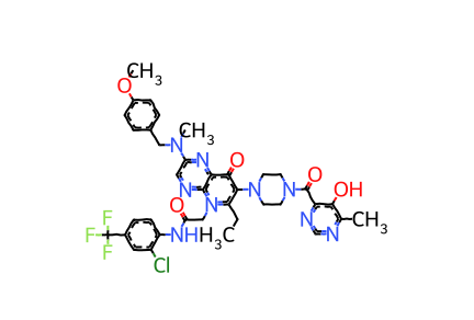 CCc1c(N2CCN(C(=O)c3ncnc(C)c3O)CC2)c(=O)c2nc(N(C)Cc3ccc(OC)cc3)cnc2n1CC(=O)Nc1ccc(C(F)(F)F)cc1Cl